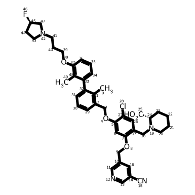 Cc1c(COc2cc(OCc3cncc(C#N)c3)c(CN3CCCC[C@H]3C(=O)O)cc2Cl)cccc1-c1cccc(OCCCN2CC[C@@H](F)C2)c1C